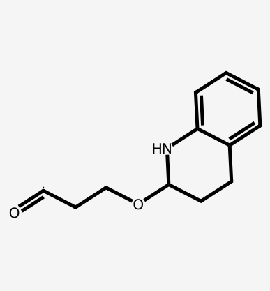 O=[C]CCOC1CCc2ccccc2N1